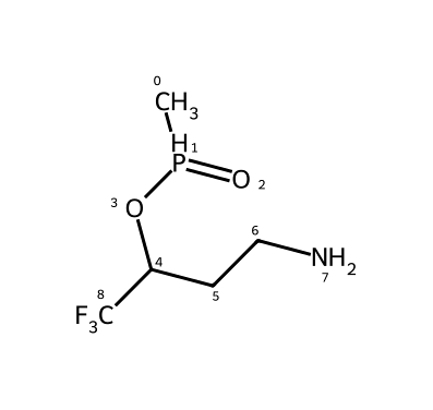 C[PH](=O)OC(CCN)C(F)(F)F